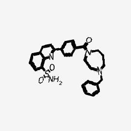 NS(=O)(=O)c1cccc2ccc(-c3ccc(C(=O)N4CCCN(Cc5ccccc5)CC4)cc3)nc12